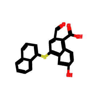 O=Cc1cc(Sc2cccc3ccccc23)c2cc(O)ccc2c1C(=O)O